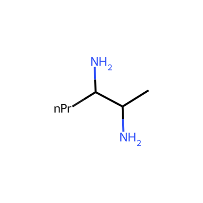 CCCC(N)C(C)N